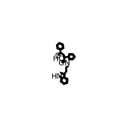 O=C(CC1(O)C(=O)N(CCCc2c[nH]c3ccccc23)c2ccccc21)c1ccccc1